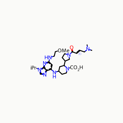 COCCNc1cc(NC2CCN(C(=O)O)C(C3CCN(C(=O)/C=C/CN(C)C)C3)C2)c2ncn(C(C)C)c2n1